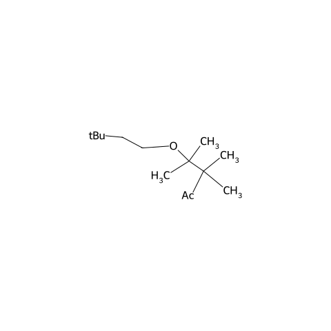 CC(=O)C(C)(C)C(C)(C)OCCC(C)(C)C